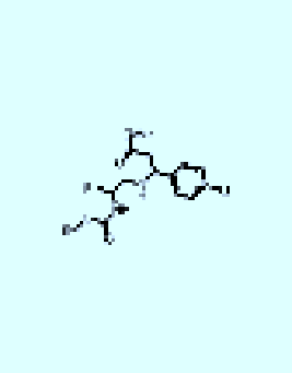 COC(=O)CC(NCC(NC(=O)OC(C)C)C(C)C)c1ccc(Cl)cc1